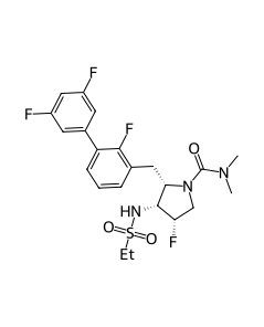 CCS(=O)(=O)N[C@H]1[C@@H](F)CN(C(=O)N(C)C)[C@H]1Cc1cccc(-c2cc(F)cc(F)c2)c1F